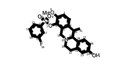 COc1ccc2c(c1OS(=O)(=O)c1cccc(F)c1)CN1CCc3cc(O)ccc3C1C2C